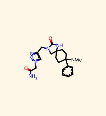 CNC1(c2ccccc2)CCC2(CC1)CN(Cc1cn(CC(N)=O)nn1)C(=O)N2